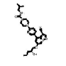 CCC[C@@H](O)COc1cc(-c2ccc(N3CCN(C(=O)NCC(C)C)CC3)nc2)c2c(C#N)cnn2c1